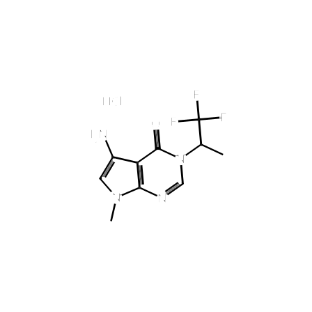 CC(n1cnc2c(c(N)cn2C)c1=O)C(F)(F)F.Cl